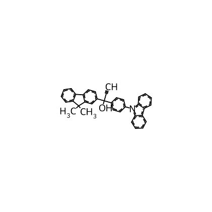 C#CC(O)(c1ccc(-n2c3ccccc3c3ccccc32)cc1)c1ccc2c(c1)C(C)(C)c1ccccc1-2